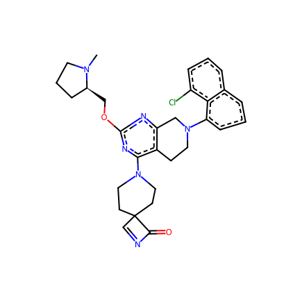 CN1CCC[C@@H]1COc1nc2c(c(N3CCC4(C=NC4=O)CC3)n1)CCN(c1cccc3cccc(Cl)c13)C2